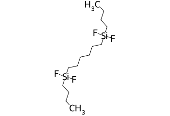 CCCC[Si](F)(F)CCCCCC[Si](F)(F)CCCC